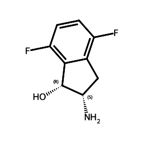 N[C@H]1Cc2c(F)ccc(F)c2[C@H]1O